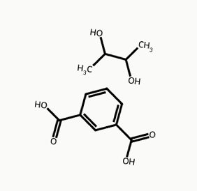 CC(O)C(C)O.O=C(O)c1cccc(C(=O)O)c1